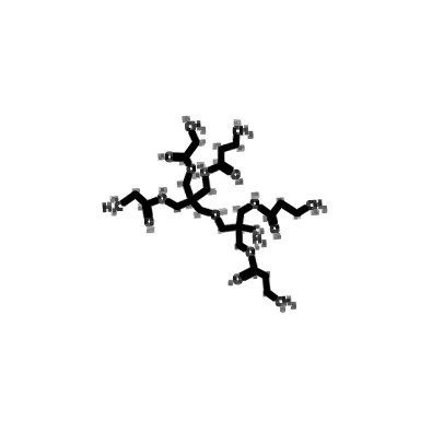 CCCC(=O)OCC(C)(COCC(COC(=O)CC)(COC(=O)CC)COC(=O)CCC)COC(=O)CCC